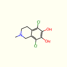 CN1CCc2c(Cl)c(O)c(O)c(Cl)c2C1